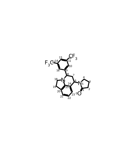 O=C1CCCN1C1CC(c2cc(C(F)(F)F)cc(C(F)(F)F)c2)N2CCc3cccc1c32